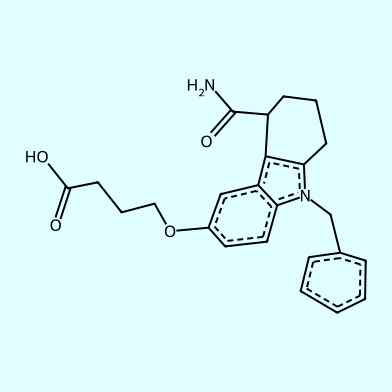 NC(=O)C1CCCc2c1c1cc(OCCCC(=O)O)ccc1n2Cc1ccccc1